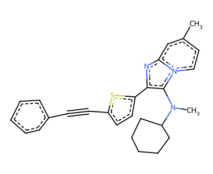 Cc1ccn2c(N(C)C3CCCCC3)c(-c3ccc(C#Cc4ccccc4)s3)nc2c1